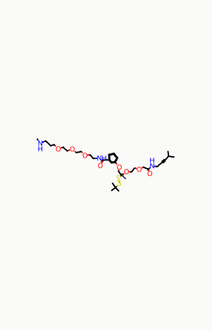 CNCCCOCCOCCOCCNC(=O)c1cccc(OC[C@](C)(OCCOCC(=O)NCC#CC(C)C)SSC(C)(C)C)c1